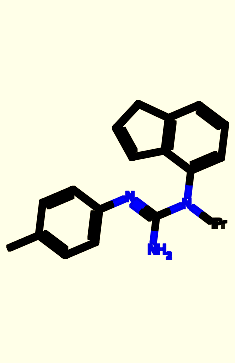 Cc1ccc(N=C(N)N(c2cccc3c2C=CC3)C(C)C)cc1